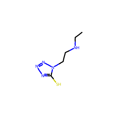 CCNCCn1nnnc1S